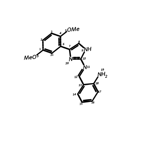 COc1ccc(OC)c(-c2c[nH]c(N=Cc3ccccc3N)n2)c1